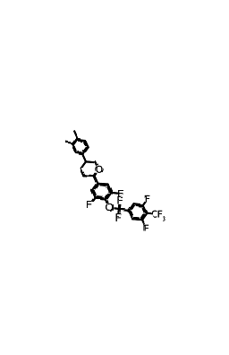 Cc1ccc(C2CCC(c3cc(F)c(OC(F)(F)c4cc(F)c(C(F)(F)F)c(F)c4)c(F)c3)OC2)cc1C